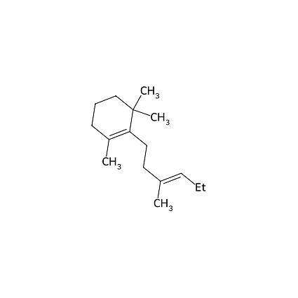 [CH2]CC=C(C)CCC1=C(C)CCCC1(C)C